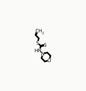 C=CCSC(=S)NN1CCOCC1